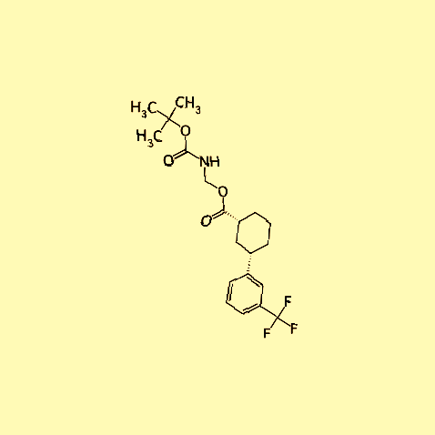 CC(C)(C)OC(=O)NCOC(=O)[C@@H]1CCC[C@H](c2cccc(C(F)(F)F)c2)C1